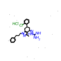 Cc1nn(CCCc2ccccc2)c2c1/C(=N\NC(=N)N)CC(c1ccccc1Cl)C2.Cl